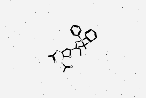 CCC(O[Si](c1ccccc1)(c1ccccc1)C(C)(C)C)[C@@H]1C[C@@H](OC(C)=O)[C@@H](OC(C)=O)O1